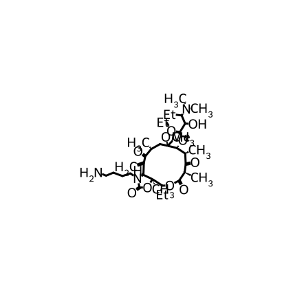 C=C1C(=O)[C@H](C)C[C@@](C)(OC)[C@H](O[C@H](OCC)C(O)C(CC)N(C)C)[C@@H](C)C(=O)[C@@H](C)C(=O)O[C@H](CC)[C@@]2(C)OC(=O)N(CCCCN)[C@H]12